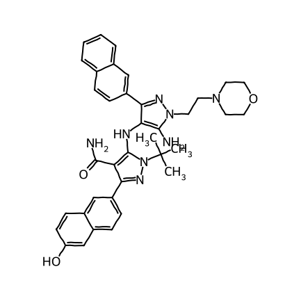 CC(C)(C)n1nc(-c2ccc3cc(O)ccc3c2)c(C(N)=O)c1Nc1c(-c2ccc3ccccc3c2)nn(CCN2CCOCC2)c1N